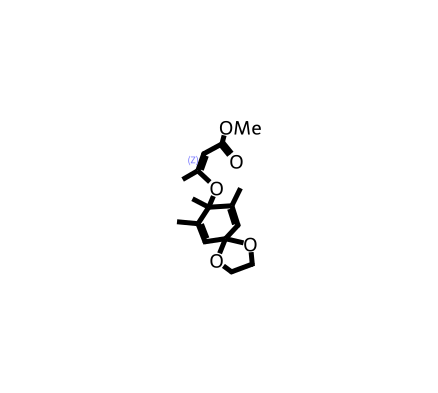 COC(=O)/C=C(/C)OC1(C)C(C)=CC2(C=C1C)OCCO2